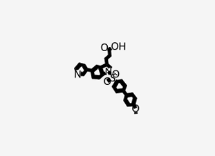 COc1ccc(-c2ccc(S(=O)(=O)N3CC(CCC(=O)O)c4cc(-c5cccnc5)ccc43)cc2)cc1